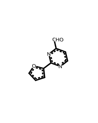 O=Cc1ccnc(-c2ccco2)n1